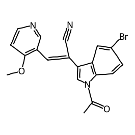 COc1ccncc1/C=C(\C#N)c1cn(C(C)=O)c2ccc(Br)cc12